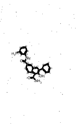 NC(=O)c1c(O)c(-c2ccccc2)cc2cc(C(=O)Nc3cccc(N)c3)ccc12